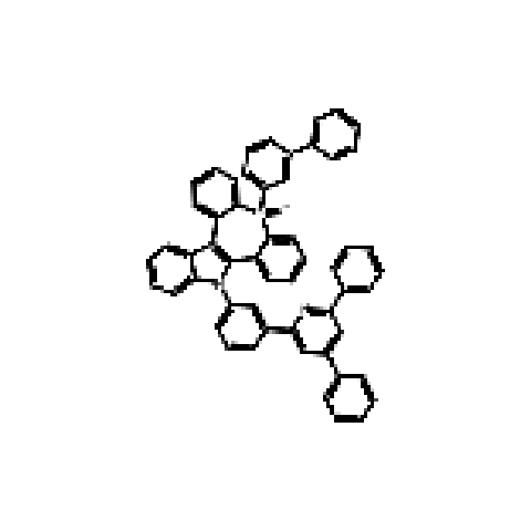 O=P1(c2cccc(-c3ccccc3)c2)c2ccccc2-c2c(n(-c3cccc(-c4cc(-c5ccccc5)cc(-c5ccccc5)n4)c3)c3ccccc23)-c2ccccc21